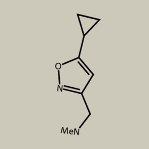 CNCc1cc(C2CC2)on1